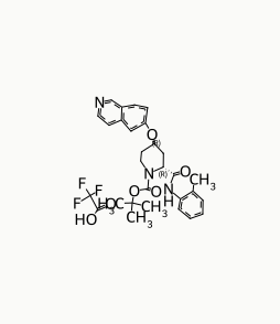 Cc1ccccc1NC(=O)[C@H]1C[C@H](Oc2ccc3cnccc3c2)CCN1C(=O)OC(C)(C)C.O=C(O)C(F)(F)F